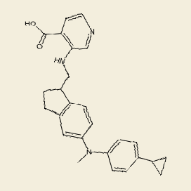 CN(c1ccc(C2CC2)cc1)c1ccc2c(c1)CCC2CNc1cnccc1C(=O)O